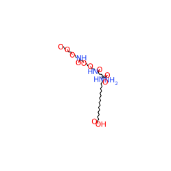 NC(=O)[C@H](CCC(=O)NCCOCCOCC(=O)NCCOCCOCC=O)NC(=O)CCCCCCCCCCCCCCCCC(=O)O